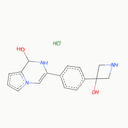 Cl.OC1NC(c2ccc(C3(O)CNC3)cc2)=Cn2cccc21